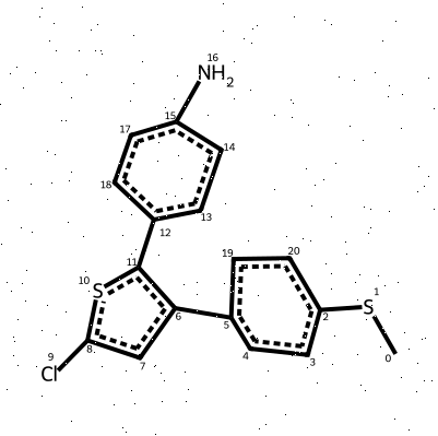 CSc1ccc(-c2cc(Cl)sc2-c2ccc(N)cc2)cc1